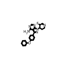 Nc1ncnc2c1c(-c1ccc(Oc3ccccc3)cc1)nn2C1CCN=CC1F